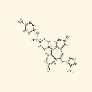 Cc1nccn1CC1=Cc2cc(Cl)ccc2C(N2CCN(C(=O)Nc3ccc(N)cc3)CC2)c2ncc(Cl)cc21